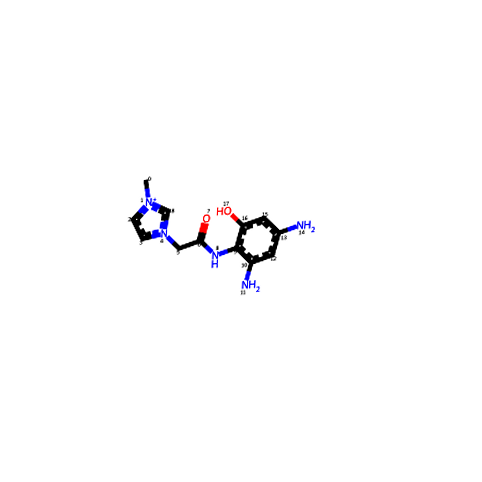 C[n+]1ccn(CC(=O)Nc2c(N)cc(N)cc2O)c1